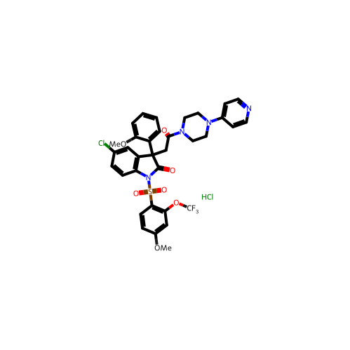 COc1ccc(S(=O)(=O)N2C(=O)C(CC(=O)N3CCN(c4ccncc4)CC3)(c3ccccc3OC)c3cc(Cl)ccc32)c(OC(F)(F)F)c1.Cl